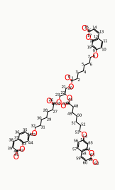 O=C(CCCCCCOc1ccc2ccc(=O)oc2c1)OCC(COC(=O)CCCCCCOc1ccc2ccc(=O)oc2c1)OC(=O)CCCCCCOc1ccc2ccc(=O)oc2c1